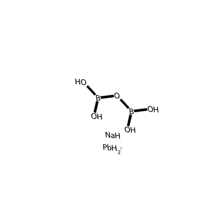 OB(O)OB(O)O.[NaH].[PbH2]